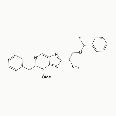 COn1c(Cc2ccccc2)ncc2nc(C(C)COC(F)c3ccccc3)nc1-2